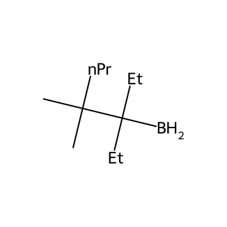 BC(CC)(CC)C(C)(C)CCC